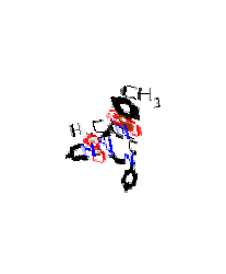 C=C1CN(S(=O)(=O)c2ccc(C)cc2)CCCN(CC2CCCCC2)CCCN(S(=O)(=O)N2CCCCC2)C1